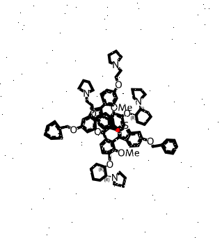 COc1c(O[C@@H]2CCCC[C@H]2N2CCCC2)ccc(C(=O)c2ccc(O[C@@H]3CCCC[C@H]3N3CCCC3)c(OC)c2-c2c(-c3ccc(OCCN4CCCC4)cc3)sc3cc(OCc4ccccc4)ccc23)c1-c1c(-c2ccc(OCCN3CCCC3)cc2)sc2cc(OCc3ccccc3)ccc12